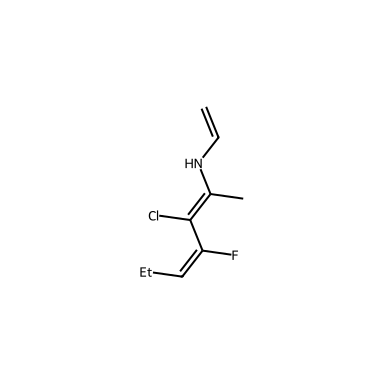 C=CN/C(C)=C(Cl)/C(F)=C\CC